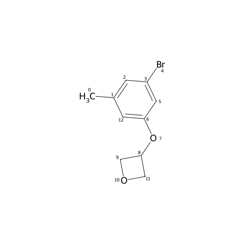 Cc1cc(Br)cc(OC2COC2)c1